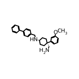 COc1cccc([C@]2(CN)CC[C@@H](NCc3ccc(-c4ccccc4)cc3)CC2)c1